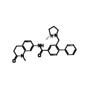 C[C@@H]1CCCN1Cc1cc(C(=O)Nc2ccc3c(c2)N(C)C(=O)CC3)ccc1-c1ccccc1